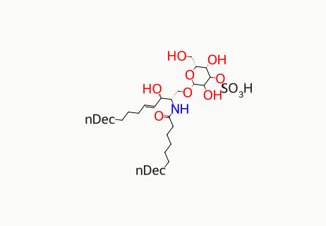 CCCCCCCCCCCCC/C=C/[C@@H](O)[C@H](CO[C@@H]1O[C@H](CO)[C@H](O)C(OS(=O)(=O)O)C1O)NC(=O)CCCCCCCCCCCCCCC